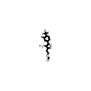 Cc1c(CCOC=O)noc1-c1ccc(C(F)(F)F)c(F)c1